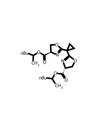 CCCCC(C)OC(=O)[C@H]1COC(C2(C3=N[C@@H](C(=O)OC(C)CCCC)CO3)CC2)=N1